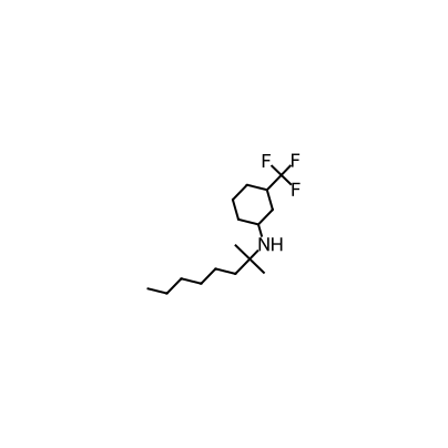 CCCCCCC(C)(C)NC1CCCC(C(F)(F)F)C1